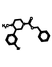 CN1CCN(C(=O)OCc2ccccc2)CC1c1cccc(Br)c1